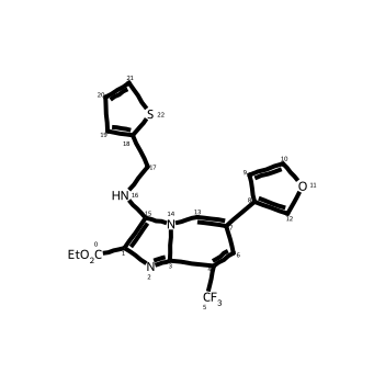 CCOC(=O)c1nc2c(C(F)(F)F)cc(-c3ccoc3)cn2c1NCc1cccs1